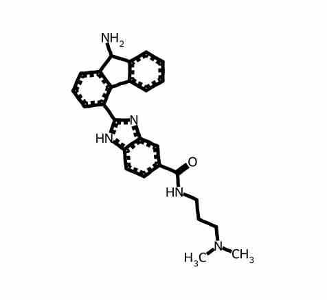 CN(C)CCCNC(=O)c1ccc2[nH]c(-c3cccc4c3-c3ccccc3C4N)nc2c1